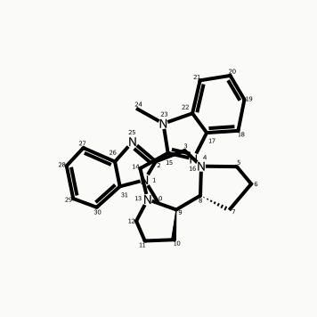 Cn1c(CN2CCC[C@@H]2[C@H]2CCCN2Cc2nc3ccccc3n2C)nc2ccccc21